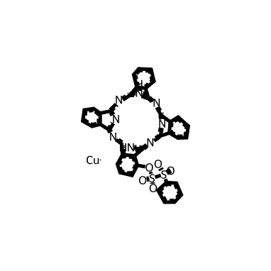 O=S(=O)(Oc1cccc2c3nc4nc(nc5[nH]c(nc6nc(nc([nH]3)c12)-c1ccccc1-6)c1ccccc51)-c1ccccc1-4)S(=O)(=O)c1ccccc1.[Cu]